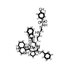 Cc1ccc(S(=O)(=O)NN=CNCCC[C@H](NC(=O)[C@]2(C(=O)OCc3ccccc3)CCCN2C(=O)C2NCC[C@H]3CCCC[C@@H]23)[C@@H](O)c2nc3ccccc3s2)cc1